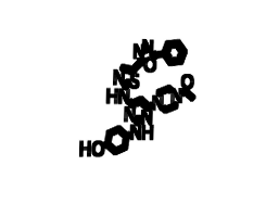 CC(=O)N1CCN(c2cc(Nc3ncc(-c4nnc(-c5ccccc5)o4)s3)nc(NC3CCC(O)CC3)n2)CC1